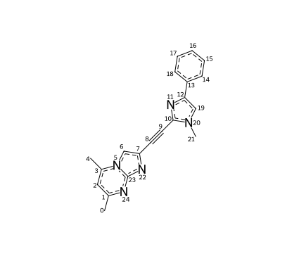 Cc1cc(C)n2cc(C#Cc3nc(-c4ccccc4)cn3C)nc2n1